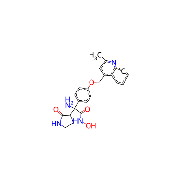 Cc1cc(COc2ccc(C(N)(C(=O)NO)C3CCNC3=O)cc2)c2ccccc2n1